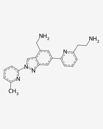 Cc1cccc(-n2cc3c(CN)cc(-c4cccc(CCN)n4)cc3n2)n1